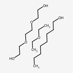 CCCCCCCCO.CCOCC.OCCOCCOCCO